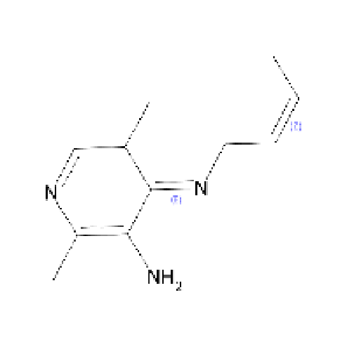 C/C=C\C/N=C1/C(N)=C(C)N=CC1C